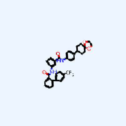 O=C(Nc1ccc(C2CCC3(CC2)OCCO3)cc1)c1cccc(NC(=O)c2ccccc2-c2ccc(C(F)(F)F)cc2)c1